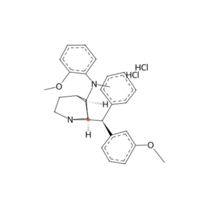 COc1cccc([C@H](c2ccccc2)[C@@H]2[C@H](N(C)c3ccccc3OC)C3CCN2CC3)c1.Cl.Cl